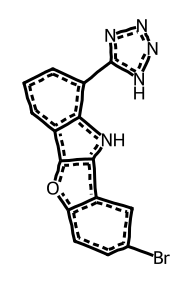 Brc1ccc2oc3c4cccc(-c5nnn[nH]5)c4[nH]c3c2c1